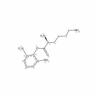 NCCCC[C@H](N)C(=O)Oc1c([N+](=O)[O-])cccc1[N+](=O)[O-]